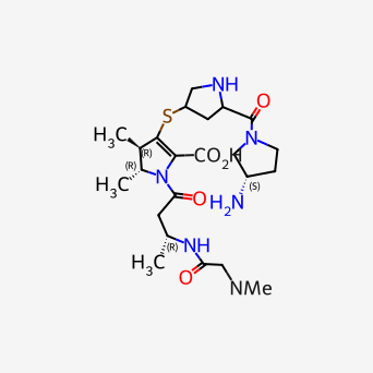 CNCC(=O)N[C@H](C)CC(=O)N1C(C(=O)O)=C(SC2CNC(C(=O)N3CC[C@H](N)C3)C2)[C@H](C)[C@H]1C